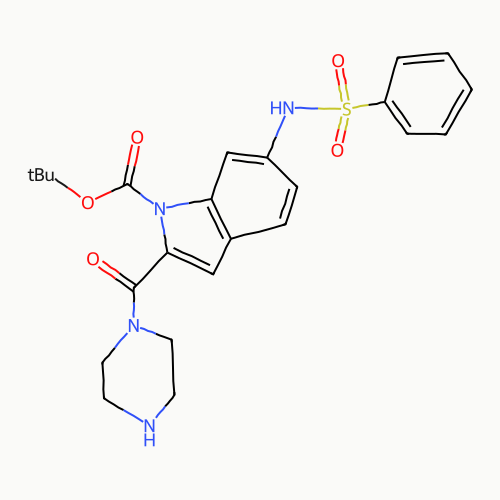 CC(C)(C)OC(=O)n1c(C(=O)N2CCNCC2)cc2ccc(NS(=O)(=O)c3ccccc3)cc21